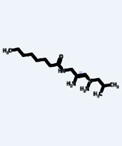 CCCCCCCC(=O)NC/C(N)=C/N(N)CC(C)C